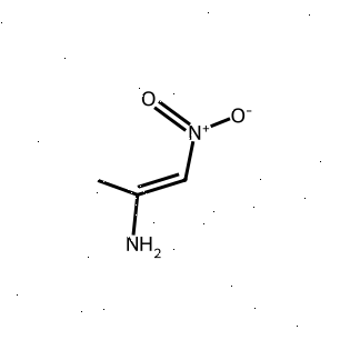 C/C(N)=C\[N+](=O)[O-]